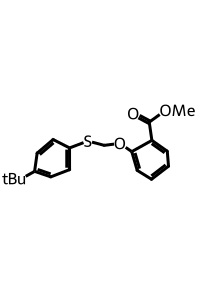 COC(=O)c1ccccc1OCSc1ccc(C(C)(C)C)cc1